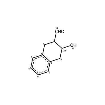 O=CC1Cc2ccccc2CC1O